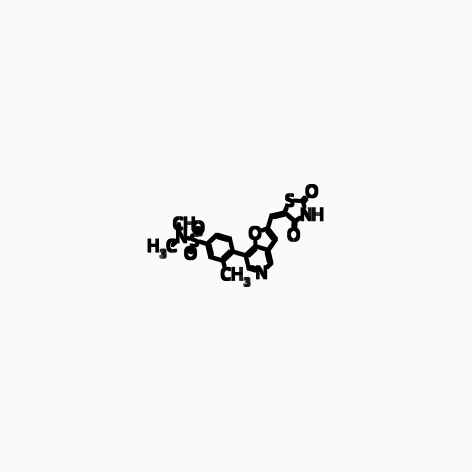 Cc1cc(S(=O)(=O)N(C)C)ccc1-c1cncc2cc(C=C3SC(=O)NC3=O)oc12